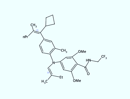 CCC/C(C)=C(\c1ccc(N(/C=C(/C)CC)c2cc(OC)c(C(=O)NCC(F)(F)F)c(OC)c2)c(C)c1)C1CCC1